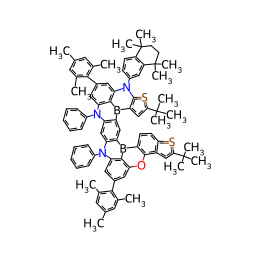 Cc1cc(C)c(-c2cc3c4c(c2)N(c2ccccc2)c2cc5c(cc2B4c2ccc4sc(C(C)(C)C)cc4c2O3)B2c3cc(C(C)(C)C)sc3N(c3ccc4c(c3)C(C)(C)CCC4(C)C)c3cc(-c4c(C)cc(C)cc4C)cc(c32)N5c2ccccc2)c(C)c1